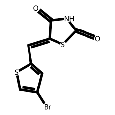 O=C1NC(=O)C(=Cc2cc(Br)cs2)S1